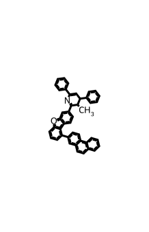 CC1C(c2ccc3c(c2)oc2cccc(-c4ccc5c(ccc6ccccc65)c4)c23)=NC(c2ccccc2)=CC1c1ccccc1